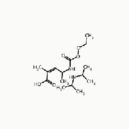 CC(C)NC(C)C.CCOOC(=O)NC(C)C=C(C)C(=O)O